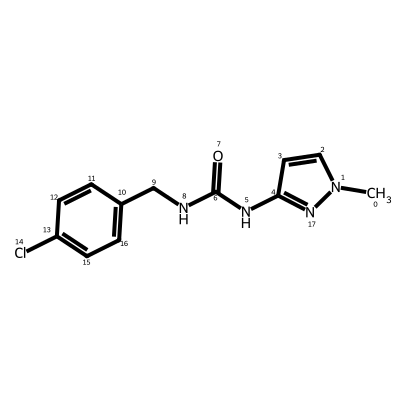 Cn1ccc(NC(=O)NCc2ccc(Cl)cc2)n1